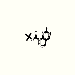 Cc1ncc(C=O)c(NC(=O)OC(C)(C)C)n1